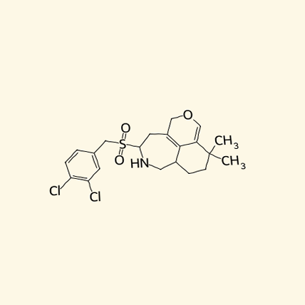 CC1(C)CCC2CNC(S(=O)(=O)Cc3ccc(Cl)c(Cl)c3)CC3=C2C1=COC3